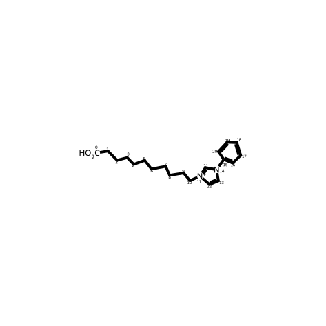 O=C(O)CCCCCCCCCC[n+]1ccn(-c2ccccc2)c1